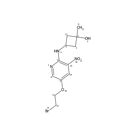 CC1(O)CC(Nc2ncc(OCCBr)cc2[N+](=O)[O-])C1